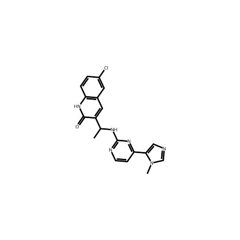 CC(Nc1nccc(-c2cncn2C)n1)c1cc2cc(Cl)ccc2[nH]c1=O